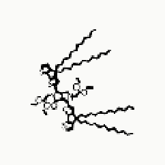 CCCCCCCCCCCCC1(CCCCCCCCCCCC)c2ccsc2-c2sc(C3=C4C(=O)N(CC(OCC)OCC)C(c5cc6c(s5)-c5sccc5C6(CCCCCCCCCCCC)CCCCCCCCCCCC)=C4CN3CC(OCC)OCC)cc21